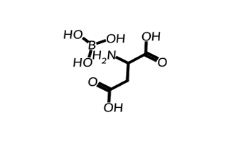 NC(CC(=O)O)C(=O)O.OB(O)O